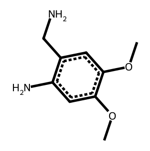 COc1cc(N)c(CN)cc1OC